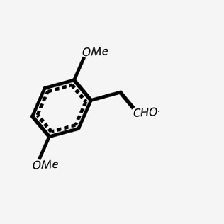 COc1ccc(OC)c(C[C]=O)c1